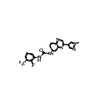 Cn1cc(-c2cnc3ccc(NC(=O)Nc4cccc(C(F)(F)F)c4F)cc3n2)cn1